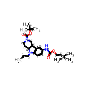 C=CCN1c2ccc(NC(=O)OCC[Si](C)(C)C)cc2C2CN(C(=O)OC(C)(C)C)CCC21